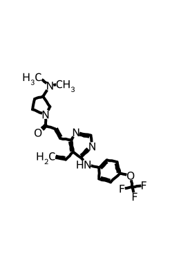 C=Cc1c(/C=C/C(=O)N2CCC(N(C)C)C2)ncnc1Nc1ccc(OC(F)(F)F)cc1